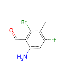 Cc1c(F)cc(N)c(C=O)c1Br